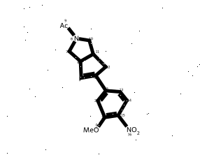 COc1cc(C2=CC3CN(C(C)=O)CC3C2)ccc1[N+](=O)[O-]